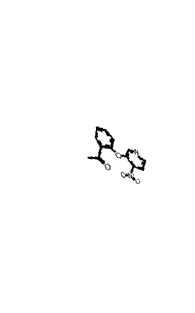 CC(=O)c1ccccc1Oc1cnccc1[N+](=O)[O-]